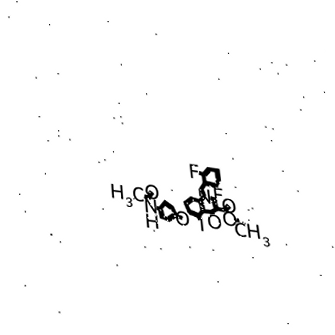 CCOC(=O)c1cn(Cc2c(F)cccc2F)c2ccc(Oc3ccc(NC(C)=O)cc3)c(I)c2c1=O